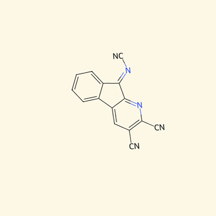 N#C/N=C1\c2ccccc2-c2cc(C#N)c(C#N)nc21